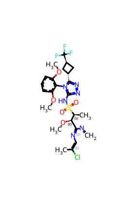 C=N/C(=N\C=C(/C)Cl)[C@@H](OC)[C@H](C)S(=O)(=O)Nc1nnc([C@H]2C[C@H](C(F)(F)F)C2)n1-c1c(OC)cccc1OC